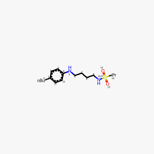 CCCCc1ccc(NCCCCNS(=O)(=O)C(C)C)cc1